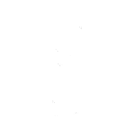 CC(C)(C)OC(=O)NCc1cccc(C(=O)Nc2nc3c(s2)CC(N2CCOCC2)CC3)c1